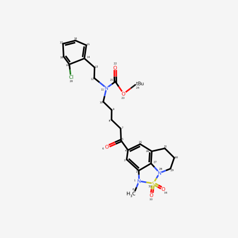 CN1c2cc(C(=O)CCCCN(CCc3ccccc3Cl)C(=O)OC(C)(C)C)cc3c2N(CCC3)S1(=O)=O